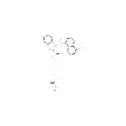 CN(C)c1cccc2c(S(=O)(=O)N3c4ccccc4C[C@H]3C(=O)NCCCCCC(=O)NO)cccc12